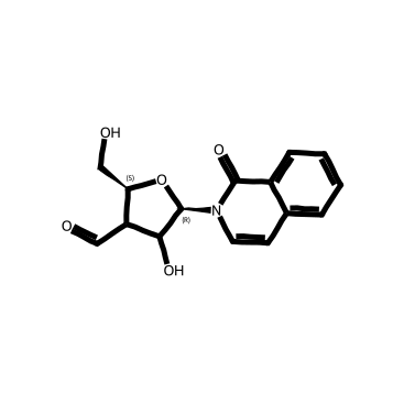 O=CC1C(O)[C@H](n2ccc3ccccc3c2=O)O[C@@H]1CO